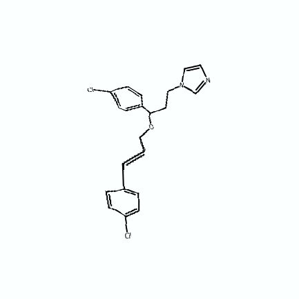 Clc1ccc(C=CCOC(CCn2ccnc2)c2ccc(Cl)cc2)cc1